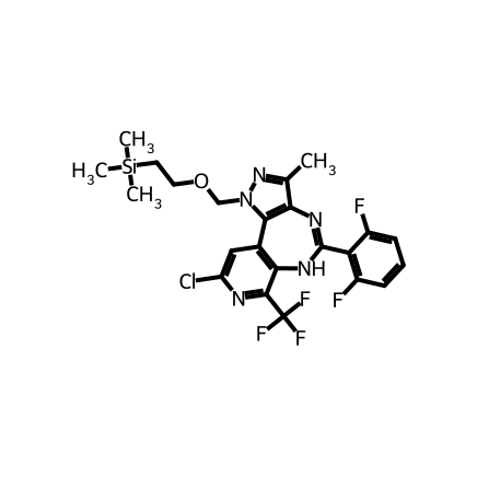 Cc1nn(COCC[Si](C)(C)C)c2c1N=C(c1c(F)cccc1F)Nc1c-2cc(Cl)nc1C(F)(F)F